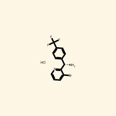 Cl.N[C@@H](c1ccc(C(F)(F)F)cc1)c1ncccc1Br